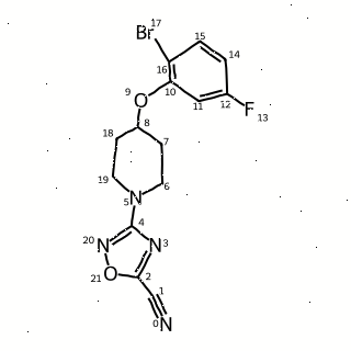 N#Cc1nc(N2CCC(Oc3cc(F)ccc3Br)CC2)no1